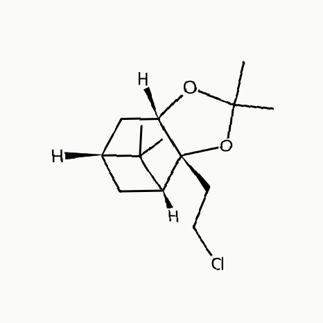 CC1(C)O[C@H]2C[C@H]3C[C@H](C3(C)C)[C@@]2(CCCl)O1